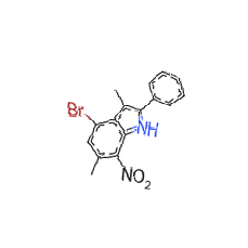 Cc1cc(Br)c2c(C)c(-c3ccccc3)[nH]c2c1[N+](=O)[O-]